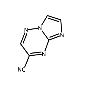 N#Cc1cnn2ccnc2n1